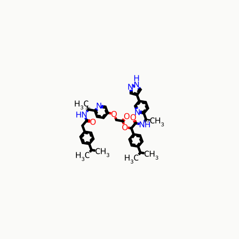 CC(C)c1ccc(CC(=O)N[C@H](C)c2ccc(OCC(=O)OC(C(=O)N[C@H](C)c3ccc(-c4cn[nH]c4)cn3)c3ccc(C(C)C)cc3)cn2)cc1